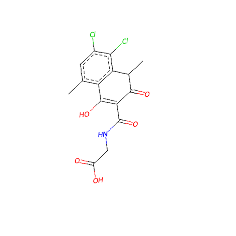 Cc1cc(Cl)c(Cl)c2c1C(O)=C(C(=O)NCC(=O)O)C(=O)C2C